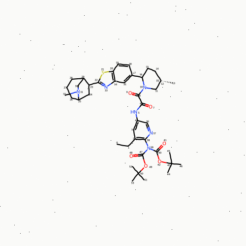 CCc1cc(NC(=O)C(=O)N2C[C@@H](C)CCC2c2ccc3sc(C4CC5CCCC4CN5C)nc3c2)cnc1N(C(=O)OC(C)(C)C)C(=O)OC(C)(C)C